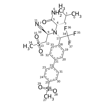 CC(C)C[C@@H](C(N)=O)N([C@H](C#N)CS(C)(=O)=O)[C@@H](c1ccc(-c2ccc(S(C)(=O)=O)cc2)cc1)C(F)(F)F